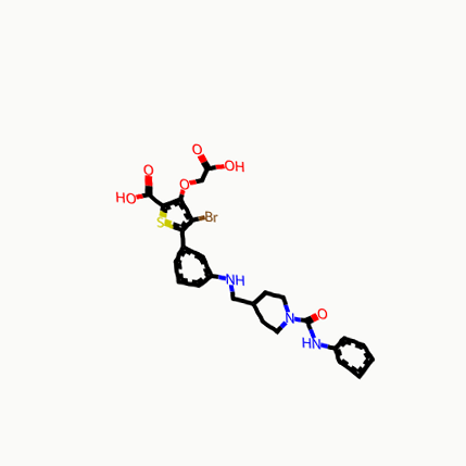 O=C(O)COc1c(C(=O)O)sc(-c2cccc(NCC3CCN(C(=O)Nc4ccccc4)CC3)c2)c1Br